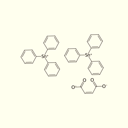 O=C([O-])/C=C\C(=O)[O-].c1cc[c]([Sn+]([c]2ccccc2)[c]2ccccc2)cc1.c1cc[c]([Sn+]([c]2ccccc2)[c]2ccccc2)cc1